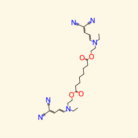 CCN(/C=C/C=C(C#N)C#N)CCOC(=O)CCCCCCC(=O)OCCN(/C=C/C=C(C#N)C#N)CC